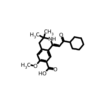 COc1cc2c(cc1C(=O)O)/C(=C/C(=O)C1CCCCC1)NC(C)(C)C2